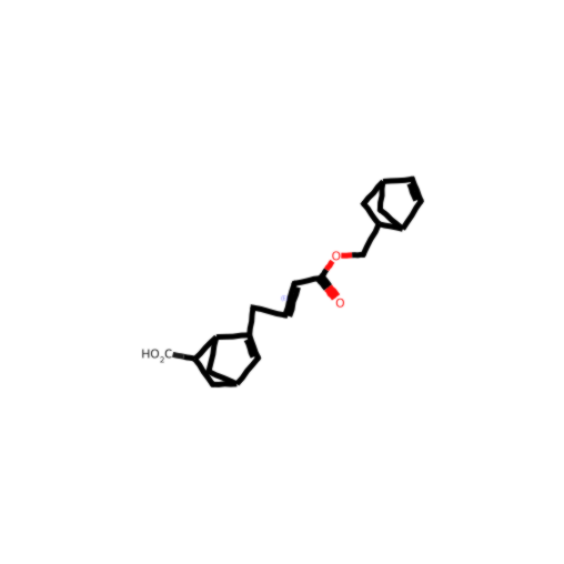 O=C(/C=C/CC1=CC2CC(C(=O)O)C1C2)OCC1CC2C=CC1C2